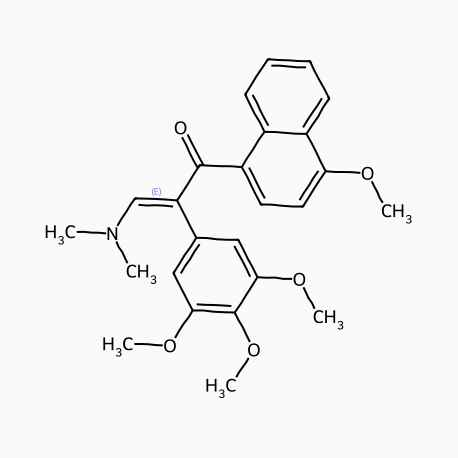 COc1cc(/C(=C\N(C)C)C(=O)c2ccc(OC)c3ccccc23)cc(OC)c1OC